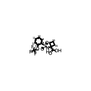 O=C(O)C1(NS(=O)(=O)c2ccccc2OC(F)(F)F)CCC1